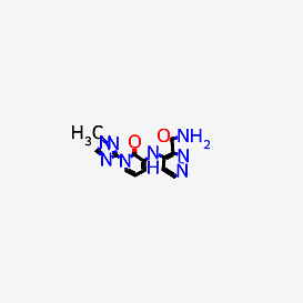 Cn1cnc(-n2cccc(Nc3ccnnc3C(N)=O)c2=O)n1